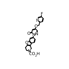 O=C(O)N1CCc2oc3cc(-n4ncc(OCc5ccc(F)cn5)cc4=O)ccc3c2C1